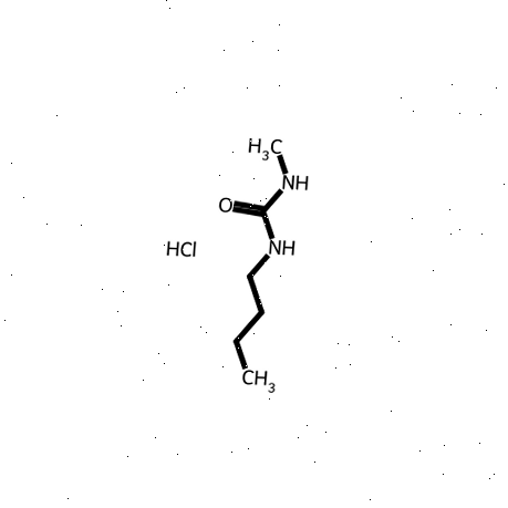 CCCCNC(=O)NC.Cl